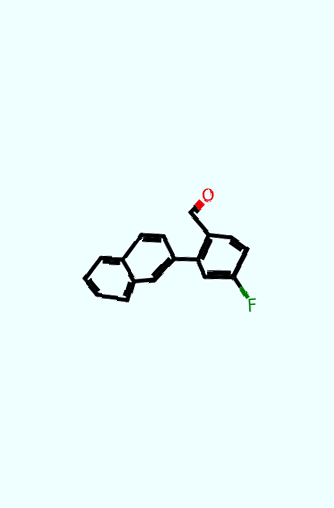 O=Cc1ccc(F)cc1-c1ccc2ccccc2c1